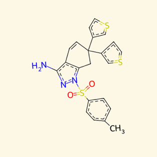 Cc1ccc(S(=O)(=O)n2nc(N)c3c2CC(c2ccsc2)(c2ccsc2)C=C3)cc1